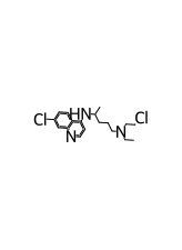 CCN(CCCl)CCCC(C)Nc1ccnc2cc(Cl)ccc12